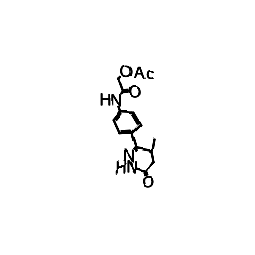 CC(=O)OCC(=O)Nc1ccc(C2=NNC(=O)CC2C)cc1